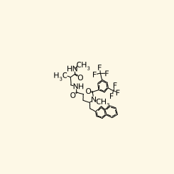 CNC(=O)C(C)CNC(=O)CCC(Cc1ccc2ccccc2c1)N(C)C(=O)c1cc(C(F)(F)F)cc(C(F)(F)F)c1